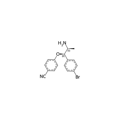 C[C@H](N)[C@H](Oc1ccc(C#N)cc1)c1ccc(Br)cc1